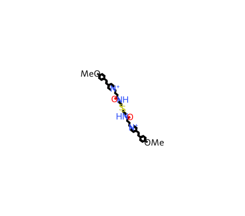 COc1ccc(/C=C/c2cc[n+](CCCC(=O)NCCSSCCNC(=O)CCC[n+]3ccc(/C=C/c4ccc(OC)cc4)cc3)cc2)cc1